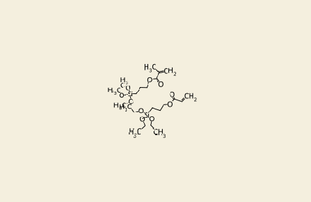 C=C(C)C(=O)OCCC[Si](OC)(OC)OC.C=CC(=O)OCCC[Si](OCC)(OCC)OCC